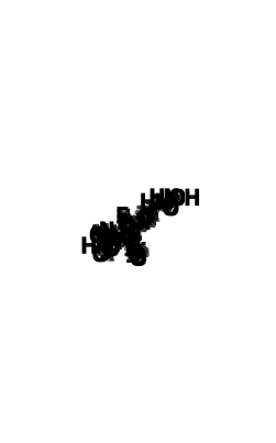 COc1ncc(-c2nc(N3CCOCC3)nc3c(CN4CCC(CCNC(=O)NO)CC4)cc(F)cc23)cc1NS(C)(=O)=O